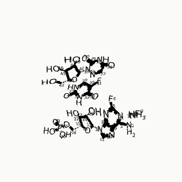 F.N.Nc1nc(F)nc2c1ncn2[C@@H]1O[C@H](COP(=O)(O)O)[C@@H](O)[C@@H]1O.O=c1[nH]cc(F)c(=O)[nH]1.O=c1cnn([C@@H]2O[C@H](CO)[C@@H](O)[C@H]2O)c(=O)[nH]1